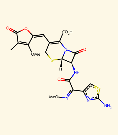 CO/N=C(\C(=O)N[C@@H]1C(=O)N2C(C(=O)O)=C(/C=C3/OC(=O)C(C)=C3OC)CS[C@@H]12)c1csc(N)n1